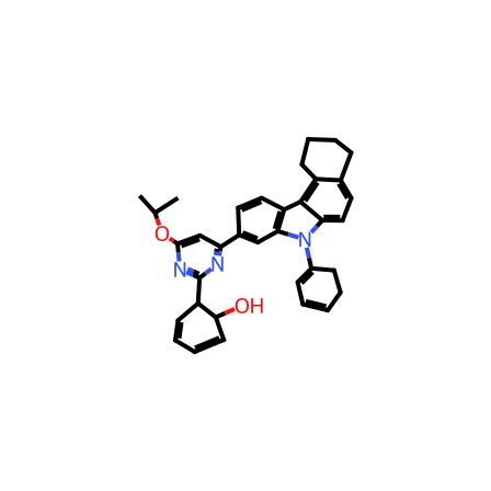 CC(C)Oc1cc(-c2ccc3c4c5c(ccc4n(C4=CC=CCC4)c3c2)CCCC5)nc(C2C=CC=CC2O)n1